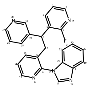 Fc1ncccc1C(Cc1cccnc1-n1cnc2ccccc21)c1cccnc1